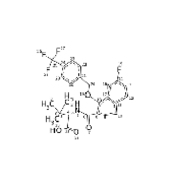 CC(C)(C)[C@H](NC(=O)c1ccc2ccc(F)nc2c1OCc1ccc(C(F)(F)F)cc1)C(=O)O